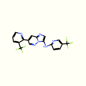 FC(F)(F)c1ccc(Nc2cnc3cc(-c4ncccc4C(F)(F)F)cnn23)nc1